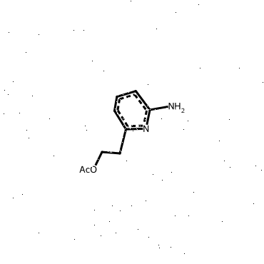 CC(=O)OCCc1cccc(N)n1